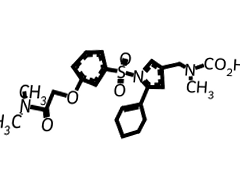 CN(C)C(=O)COc1cccc(S(=O)(=O)n2cc(CN(C)C(=O)O)cc2C2=CCCCC2)c1